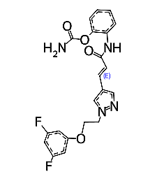 NC(=O)Oc1ccccc1NC(=O)/C=C/c1cnn(CCOc2cc(F)cc(F)c2)c1